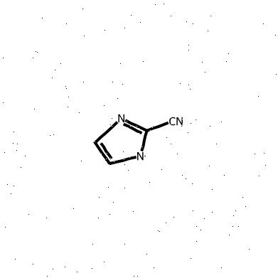 N#CC1=NC=C[N]1